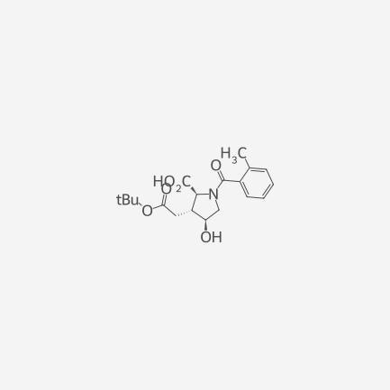 Cc1ccccc1C(=O)N1C[C@@H](O)[C@H](CC(=O)OC(C)(C)C)[C@H]1C(=O)O